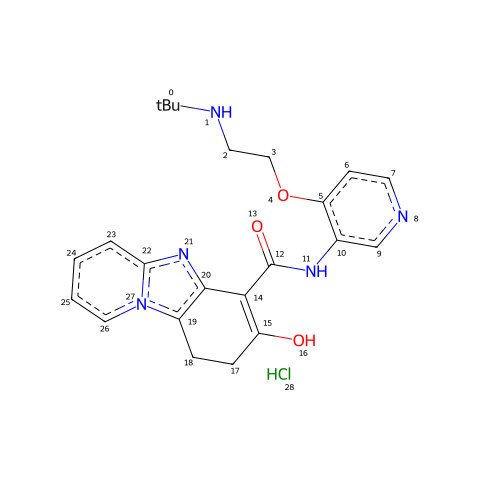 CC(C)(C)NCCOc1ccncc1NC(=O)C1=C(O)CCc2c1nc1ccccn21.Cl